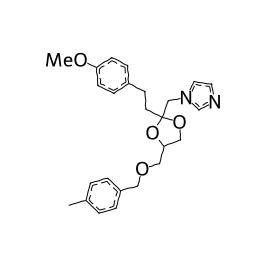 COc1ccc(CCC2(Cn3ccnc3)OCC(COCc3ccc(C)cc3)O2)cc1